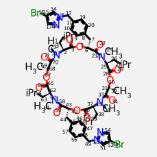 CC(C)C[C@H]1C(=O)O[C@H](Cc2ccc(Cn3cc(Br)cn3)cc2)C(=O)N(C)[C@@H](CC(C)C)C(=O)O[C@H](C)C(=O)N(C)[C@@H](CC(C)C)C(=O)O[C@H](Cc2ccc(Cn3cc(Br)cn3)cc2)C(=O)N(C)[C@@H](CC(C)C)C(=O)O[C@H](C)C(=O)N1C